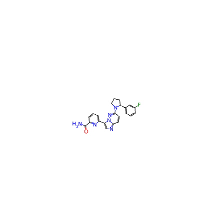 NC(=O)c1cccc(-c2cnc3ccc(N4CCC[C@H]4c4cccc(F)c4)nn23)n1